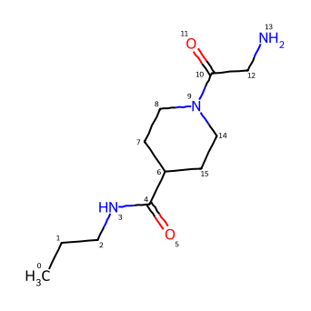 CCCNC(=O)C1CCN(C(=O)CN)CC1